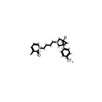 Cc1cccn(CCCCN2C[C@@H]3C[C@]3(c3ccc(C(F)(F)F)cc3)C2)c1=O